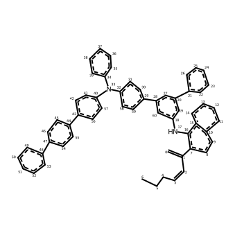 C=C(/C=C\CCC)c1ccc2ccccc2c1Nc1cc(-c2ccccc2)cc(-c2ccc(N(c3ccccc3)c3ccc(-c4ccc(-c5ccccc5)cc4)cc3)cc2)c1